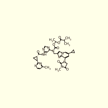 Cc1ccnc([C@H]2C[C@@H]2C(=O)Nc2cc(N(Cc3cn4cc(C5CC5)cc(N5CC(=O)N(C)C5=O)c4n3)C(=O)OC(C)OC(=O)C(C)C)ncn2)n1